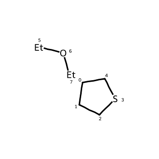 C1CCSC1.CCOCC